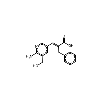 Nc1ncc(/C=C(\Cc2ccccc2)C(=O)O)cc1CO